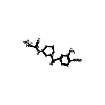 CNc1ccc(C(=O)N2CCC[C@@H](OC(=O)NC(C)(C)C)C2)cc1[N+](=O)[O-]